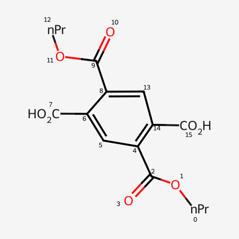 CCCOC(=O)c1cc(C(=O)O)c(C(=O)OCCC)cc1C(=O)O